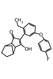 CCc1ccc(Oc2ccc(F)cc2)cc1C1=C(O)C2C3CCC(C3)C2C1=O